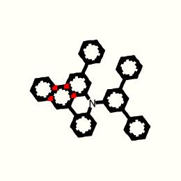 c1ccc(-c2cc(-c3ccccc3)cc(N(c3cc(-c4ccccc4)cc(-c4ccccc4)c3)c3ccccc3-c3ccccc3)c2)cc1